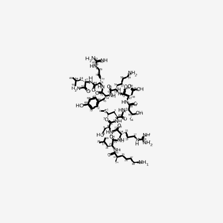 CSCC[C@H](NC(=O)[C@H](CO)NC(=O)[C@H](CCCNC(=N)N)NC(=O)[C@H](CC(C)C)NC(=O)[C@H](C)CCCCN)C(=O)N[C@H](C(=O)N[C@@H](CC(=O)O)C(=O)N[C@@H](CCCCN)C(=O)N[C@@H](Cc1ccc(O)cc1)C(=O)N[C@@H](CCCNC(=N)N)C(=O)N[C@@H](CC(C)C)C(N)=O)[C@@H](C)O